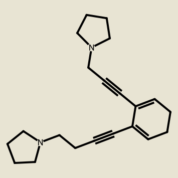 C(#CC1=CCCC=C1C#CCN1CCCC1)CCN1CCCC1